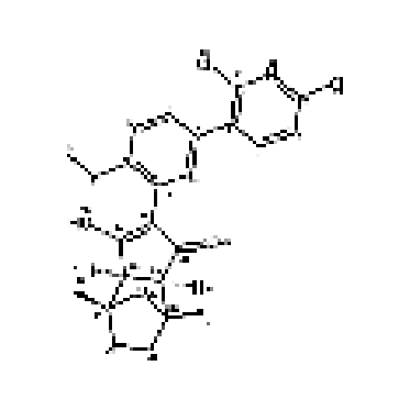 CCc1ccc(-c2ccc(Cl)nc2Cl)cc1C1=C(O)[C@H]2[C@@H](C1=O)[C@]1(C)CC[C@@]2(C)O1